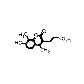 Cc1c(CCC(=O)O)c(=O)oc2c(C)c(O)ccc12